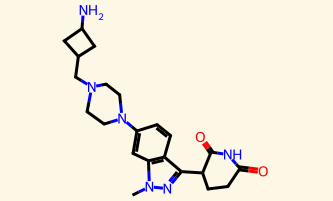 Cn1nc(C2CCC(=O)NC2=O)c2ccc(N3CCN(CC4CC(N)C4)CC3)cc21